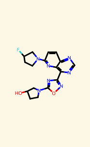 OC1CCN(c2nc(-c3ncnc4ccc(N5CCC(F)C5)nc34)no2)C1